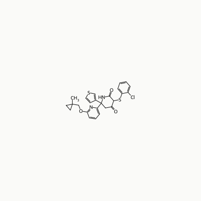 CC1(COc2cccc(C3(c4ccsc4)CC(=O)C(Sc4ccccc4Cl)C(=O)N3)n2)CC1